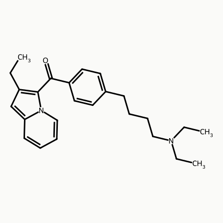 CCc1cc2ccccn2c1C(=O)c1ccc(CCCCN(CC)CC)cc1